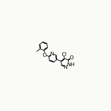 Cc1ccccc1Oc1ccc(-c2cn[nH]c(=O)c2Cl)cn1